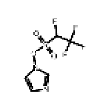 O=S(=O)(On1ccnc1)C(F)C(F)(F)F